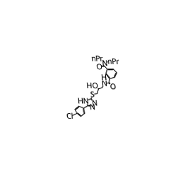 CCCN(CCC)C(=O)c1cccc(C(=O)NC[C@H](O)CSc2nnc(-c3ccc(Cl)cc3)[nH]2)c1